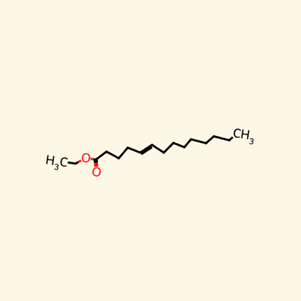 CCCCCCCCC=CCCCC(=O)OCC